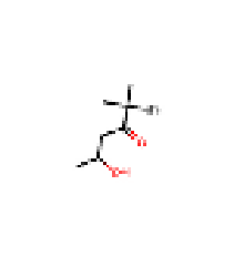 CCC(C)(C)C(=O)CC(C)O